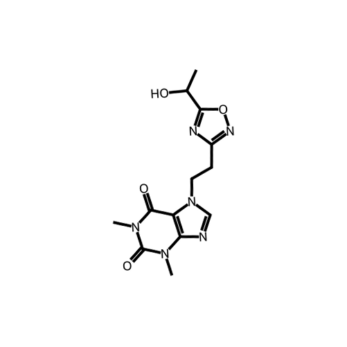 CC(O)c1nc(CCn2cnc3c2c(=O)n(C)c(=O)n3C)no1